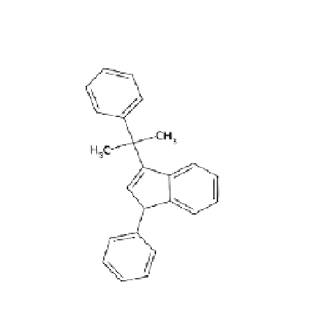 CC(C)(C1=CC(c2ccccc2)c2ccccc21)c1ccccc1